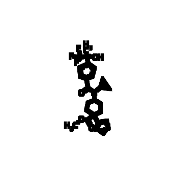 COC(=O)C1(c2cscn2)CCC(N(C(=O)c2ccc([C@](C)(O)C(F)(F)F)cc2)C2CC2)CC1